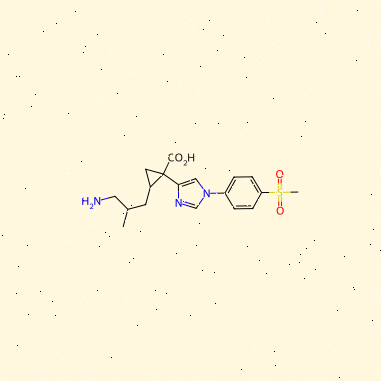 CC(CN)CC1CC1(C(=O)O)c1cn(-c2ccc(S(C)(=O)=O)cc2)cn1